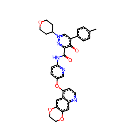 Cc1ccc(-c2cn(C3CCOCC3)nc(C(=O)Nc3ccc(Oc4ccnc5cc6c(cc45)OCCO6)cn3)c2=O)cc1